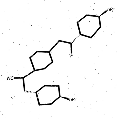 CCC[C@H]1CC[C@H](CC(C#N)C2CCC(CC(F)[C@H]3CC[C@H](CCC)CC3)CC2)CC1